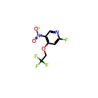 O=[N+]([O-])c1cnc(F)cc1OCC(F)(F)F